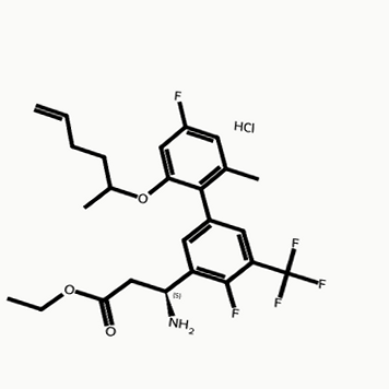 C=CCCC(C)Oc1cc(F)cc(C)c1-c1cc([C@@H](N)CC(=O)OCC)c(F)c(C(F)(F)F)c1.Cl